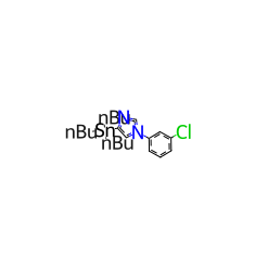 CCC[CH2][Sn]([CH2]CCC)([CH2]CCC)[c]1cn(-c2cccc(Cl)c2)cn1